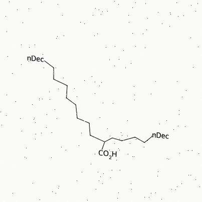 CCCCCCCCCCCCCCCCCCC(CCCCCCCCCCCCCC)C(=O)O